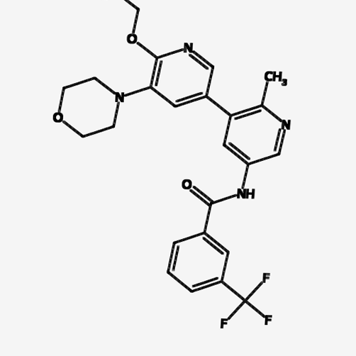 CCOc1ncc(-c2cc(NC(=O)c3cccc(C(F)(F)F)c3)cnc2C)cc1N1CCOCC1